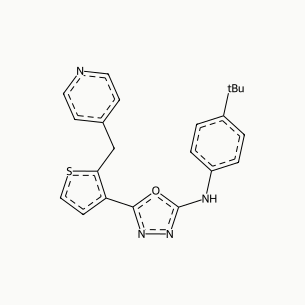 CC(C)(C)c1ccc(Nc2nnc(-c3ccsc3Cc3ccncc3)o2)cc1